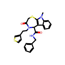 Cn1c2c(c3ccccc31)C(C(=O)NCc1ccccc1)N(CCc1ccsc1)C(=O)CS2